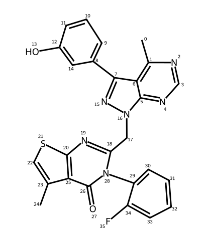 Cc1ncnc2c1c(-c1cccc(O)c1)nn2Cc1nc2scc(C)c2c(=O)n1-c1ccccc1F